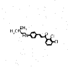 CN(C)CCNc1ccc(C=CC(=O)c2cccc(Cl)c2Cl)cc1